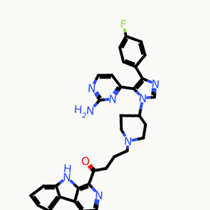 Nc1nccc(-c2c(-c3ccc(F)cc3)ncn2C2CCN(CCCC(=O)c3nccc4c3[nH]c3ccccc34)CC2)n1